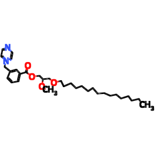 CCCCCCCCCCCCCCCCOCC(COC(=O)c1cccc(C[n+]2ccncc2)c1)OC